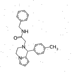 Cc1ccc(C2c3cccn3CCN2CC(=O)NCc2ccccc2)cc1